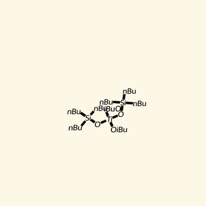 CCCC[Si](CCCC)(CCCC)[O][Ti]([O]CC(C)C)([O]CC(C)C)[O][Si](CCCC)(CCCC)CCCC